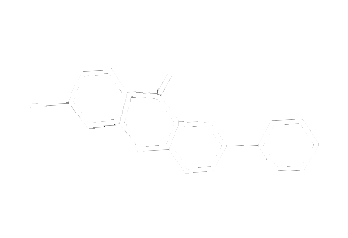 O=c1c2ccc(Cl)cc2oc2ccc(-c3ccccc3)cc12